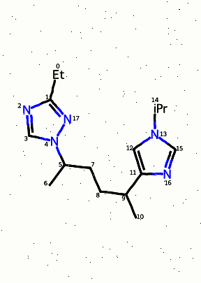 CCc1ncn(C(C)CCC(C)c2cn(C(C)C)cn2)n1